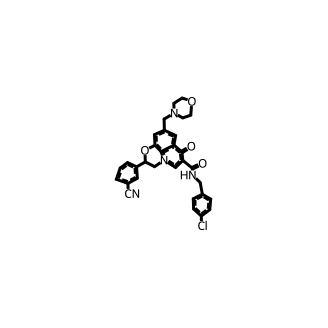 N#Cc1cccc(C2Cn3cc(C(=O)NCc4ccc(Cl)cc4)c(=O)c4cc(CN5CCOCC5)cc(c43)O2)c1